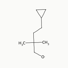 CC(C)(C[O])CCC1CC1